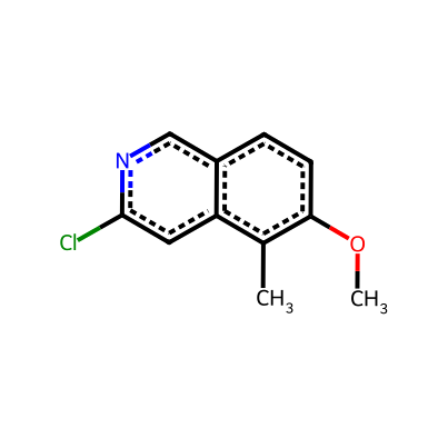 COc1ccc2cnc(Cl)cc2c1C